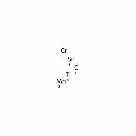 [C].[Cr].[Mn].[Si].[Ti]